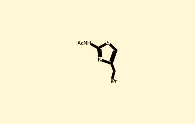 CC(=O)Nc1nc(CC(C)C)cs1